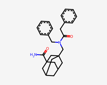 NC(=O)C12[CH]C3CC(CC(CN(Cc4ccccc4)C(=O)Cc4ccccc4)(C3)C1)C2